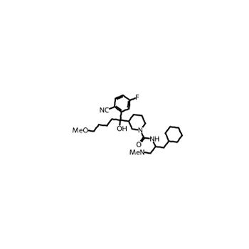 CNCC(CC1CCCCC1)NC(=O)N1CCCC(C(O)(CCCCOC)c2cc(F)ccc2C#N)C1